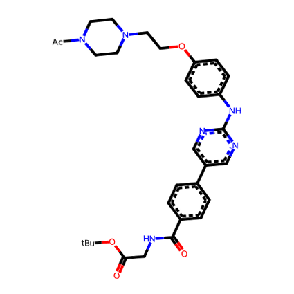 CC(=O)N1CCN(CCOc2ccc(Nc3ncc(-c4ccc(C(=O)NCC(=O)OC(C)(C)C)cc4)cn3)cc2)CC1